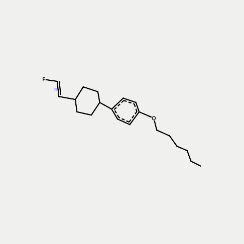 CCCCCCOc1ccc(C2CCC(/C=C/F)CC2)cc1